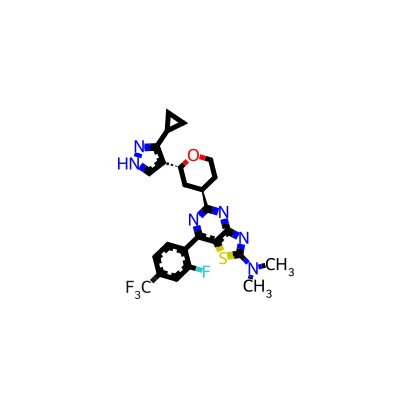 CN(C)c1nc2nc([C@@H]3CCO[C@@H](c4c[nH]nc4C4CC4)C3)nc(-c3ccc(C(F)(F)F)cc3F)c2s1